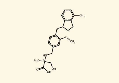 COc1cc(CN[C@@](C)(CO)C(=O)O)ccc1OC1CCc2c(C)cccc21